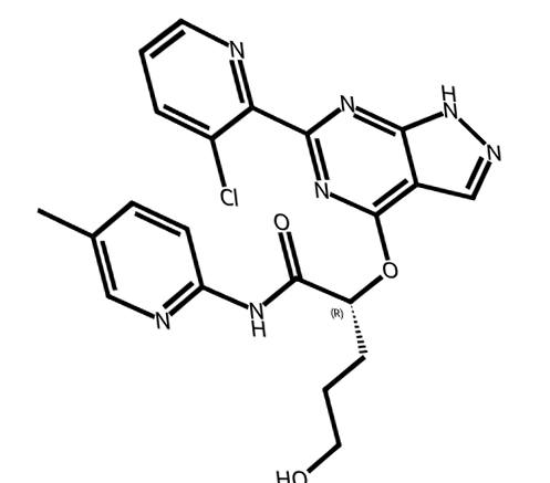 Cc1ccc(NC(=O)[C@@H](CCCO)Oc2nc(-c3ncccc3Cl)nc3[nH]ncc23)nc1